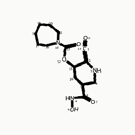 O=C=C1NCC(C(=O)NO)CC1OC(=O)N1CCCCCC1